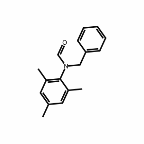 Cc1cc(C)c(N(C=O)Cc2ccccc2)c(C)c1